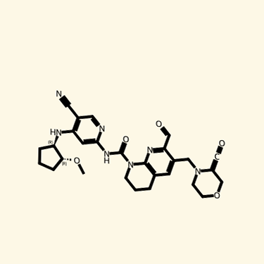 CO[C@@H]1CCC[C@H]1Nc1cc(NC(=O)N2CCCc3cc(CN4CCOCC4=C=O)c(C=O)nc32)ncc1C#N